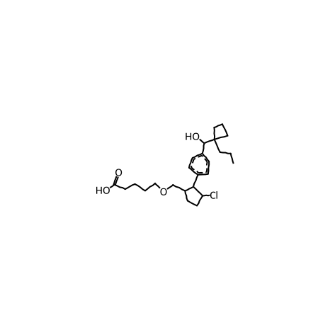 CCCC1(C(O)c2ccc(C3C(Cl)CCC3COCCCCC(=O)O)cc2)CCC1